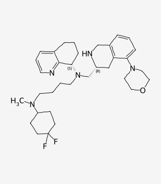 CN(CCCCN(C[C@H]1Cc2c(cccc2N2CCOCC2)CN1)[C@H]1CCCc2cccnc21)C1CCC(F)(F)CC1